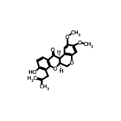 C=C(C)Cc1c(O)ccc2c1O[C@@H]1COc3cc(OC)c(OC)cc3[C@@H]1C2=O